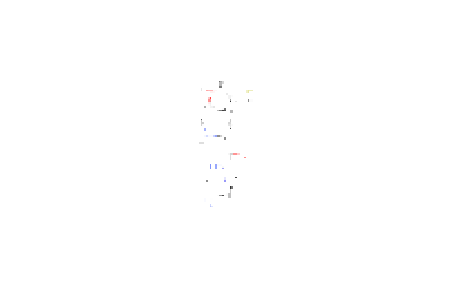 O=C(N[C@H]1CN2CCC1CC2)c1cc2c(S)coc2cn1